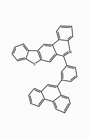 c1cc(-c2cc3ccccc3c3ccccc23)cc(-c2nc3ccccc3c3cc4c(cc23)sc2ccccc24)c1